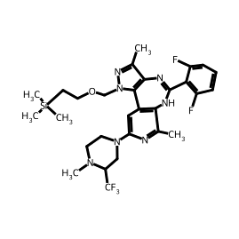 Cc1nn(COCC[Si](C)(C)C)c2c1N=C(c1c(F)cccc1F)Nc1c-2cc(N2CCN(C)C(C(F)(F)F)C2)nc1C